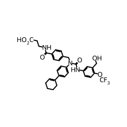 O=C(O)CCNC(=O)c1ccc(CN(C(=O)Nc2ccc(OC(F)(F)F)c(CO)c2)c2ccc(C3=CCCCC3)cc2)cc1